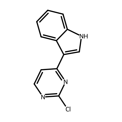 Clc1nccc(-c2c[nH]c3ccccc23)n1